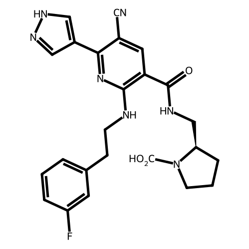 N#Cc1cc(C(=O)NC[C@H]2CCCN2C(=O)O)c(NCCc2cccc(F)c2)nc1-c1cn[nH]c1